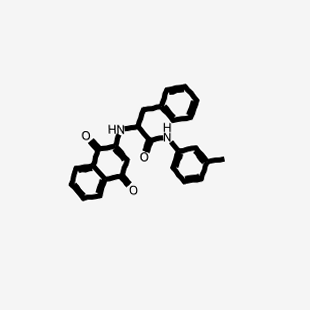 Cc1cccc(NC(=O)C(Cc2ccccc2)NC2=CC(=O)c3ccccc3C2=O)c1